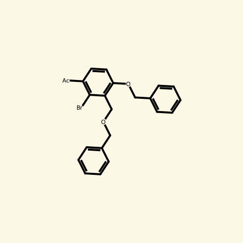 CC(=O)c1ccc(OCc2ccccc2)c(COCc2ccccc2)c1Br